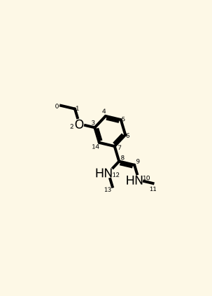 CCOc1cccc(/C(=C/NC)NC)c1